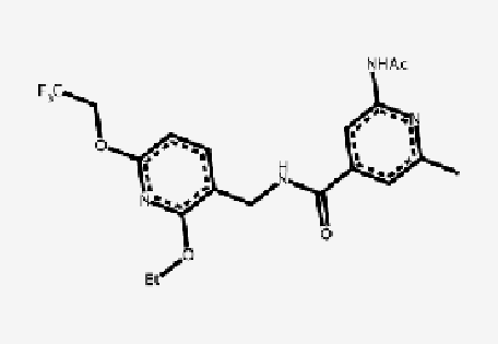 CCOc1nc(OCC(F)(F)F)ccc1CNC(=O)c1cc(C)nc(NC(C)=O)c1